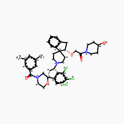 Cl.O=C(CO[C@H]1Cc2ccccc2C12CCN(CC[C@@]1(c3ccc(Cl)c(Cl)c3)CN(C(=O)c3cc(C(F)(F)F)cc(C(F)(F)F)c3)CCO1)CC2)N1CCC(O)CC1